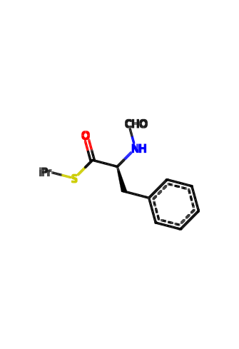 CC(C)SC(=O)[C@H](Cc1ccccc1)NC=O